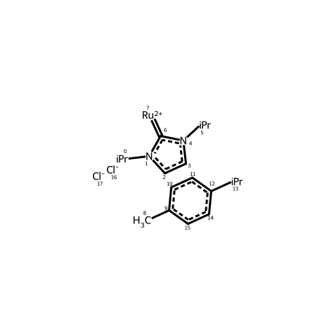 CC(C)n1ccn(C(C)C)[c]1=[Ru+2].Cc1ccc(C(C)C)cc1.[Cl-].[Cl-]